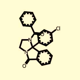 O=C(c1ccccc1)N1CCN2C(=O)c3ccccc3C12c1ccc(Cl)cc1